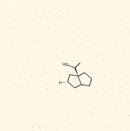 CC(O)[C@@]12CCCN1C[C@H](F)C2